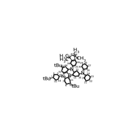 CC(C)(C)c1ccc(N2c3ccc(C(C)(C)C)cc3B3c4ccc(N(c5ccccc5)c5ccccc5)cc4N(c4ccc5c(c4)C(C)(C)CC5(C)C)c4cc(C(C)(C)C)cc2c43)cc1